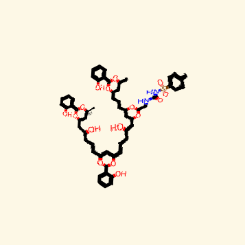 Cc1ccc(S(=O)(=O)NC(=O)NCC2OC(CCCC3CC(C)OC(c4ccccc4O)O3)CC(CC(O)CCCC3CC(CCCC(O)CC4C[C@H](C)OC(c5ccccc5O)O4)OC(c4ccccc4O)O3)O2)cc1